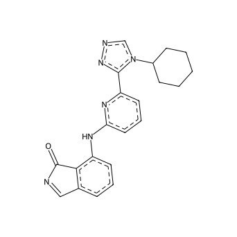 O=C1N=Cc2cccc(Nc3cccc(-c4nncn4C4CCCCC4)n3)c21